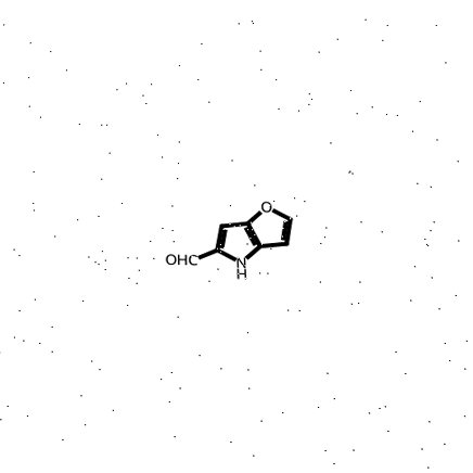 O=Cc1cc2occc2[nH]1